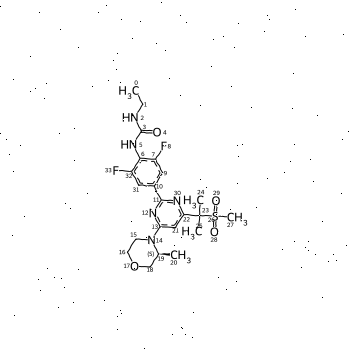 CCNC(=O)Nc1c(F)cc(-c2nc(N3CCOC[C@@H]3C)cc(C(C)(C)S(C)(=O)=O)n2)cc1F